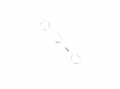 Cc1cc(C#Cc2cn(Cc3ccncc3)c(C)n2)ccn1